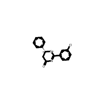 O=C1C[C@H](c2ccccc2)[Se]C(c2cccc(Cl)c2)=N1